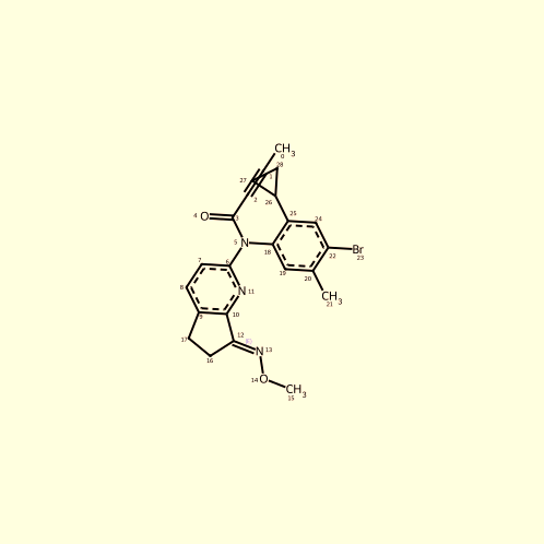 CC#CC(=O)N(c1ccc2c(n1)/C(=N/OC)CC2)c1cc(C)c(Br)cc1C1CC1